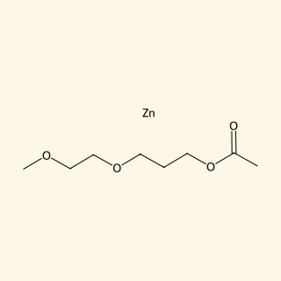 COCCOCCCOC(C)=O.[Zn]